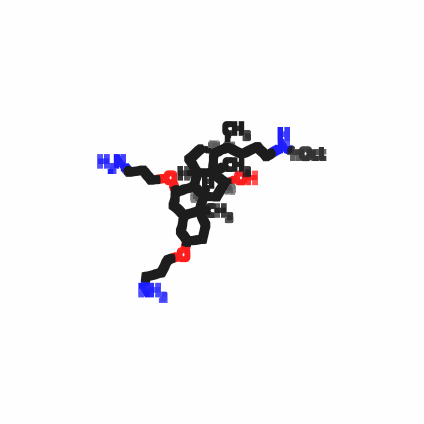 CCCCCCCCNCCC[C@@H](C)[C@H]1CC[C@H]2C3C(OCCCN)CC4CC(OCCCN)CCC4(C)[C@H]3C[C@H](O)C12C